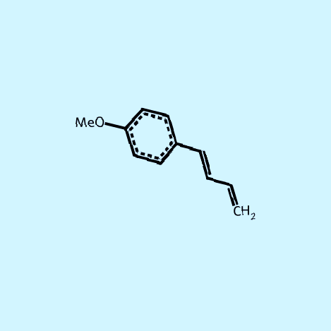 C=CC=Cc1ccc(OC)cc1